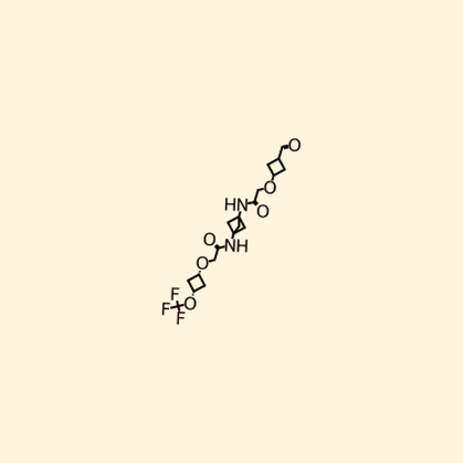 O=CC1CC(OCC(=O)NC23CC(NC(=O)CO[C@H]4C[C@@H](OC(F)(F)F)C4)(C2)C3)C1